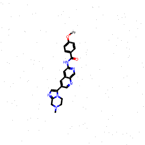 CC(C)Oc1ccc(C(=O)Nc2cc3cc(-c4cnc5n4CCN(C)C5)cnc3cn2)cc1